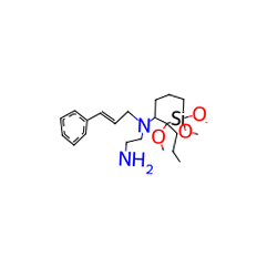 CCCC1(OC)C(N(CC=Cc2ccccc2)CCN)CCC[Si]1(OC)OC